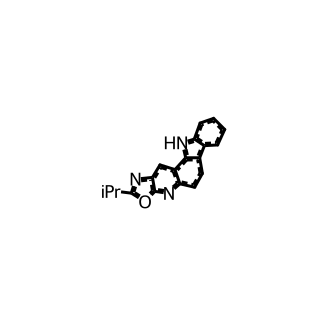 CC(C)c1nc2cc3c(ccc4c5ccccc5[nH]c34)nc2o1